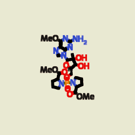 COC(=O)C1CCCN1P(=O)(OC[C@H]1OC(n2cnc3c(OC)nc(N)nc32)C(C)(O)C1O)N1CCCC1C(=O)OC